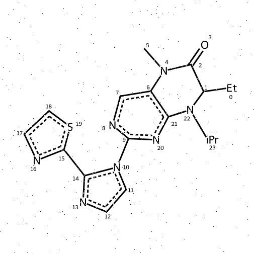 CCC1C(=O)N(C)c2cnc(-n3ccnc3-c3nccs3)nc2N1C(C)C